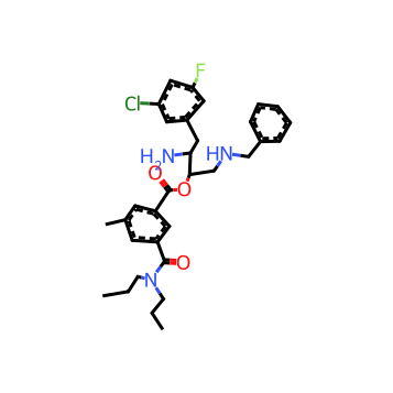 CCCN(CCC)C(=O)c1cc(C)cc(C(=O)OC(CNCc2ccccc2)C(N)Cc2cc(F)cc(Cl)c2)c1